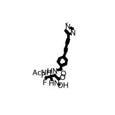 CC(=O)NC(C)(C(F)F)[C@H](NC(=O)c1ccc(C#CC#Cc2cn(C)cn2)cc1)C(=O)NO